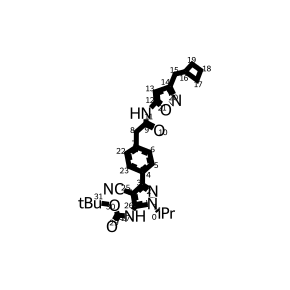 CC(C)n1nc(-c2ccc(CC(=O)Nc3cc(CC4CCC4)no3)cc2)c(C#N)c1NC(=O)OC(C)(C)C